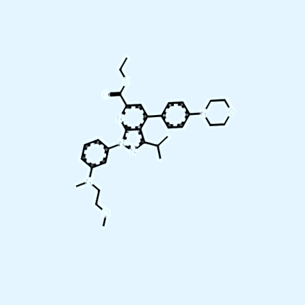 CCOC(=O)c1cc(-c2ccc(N3CCOCC3)cc2)c2c(C(C)C)nn(-c3cccc(N(C)CCOC)c3)c2n1